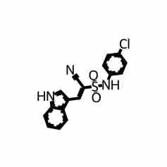 N#C/C(=C\c1c[nH]c2ccccc12)S(=O)(=O)Nc1ccc(Cl)cc1